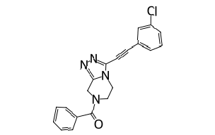 O=C(c1ccccc1)N1CCn2c(C#Cc3cccc(Cl)c3)nnc2C1